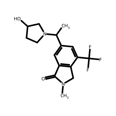 CC(c1cc2c(c(C(F)(F)F)c1)CN(C)C2=O)N1CCC(O)C1